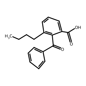 CCCCc1cccc(C(=O)O)c1C(=O)c1ccccc1